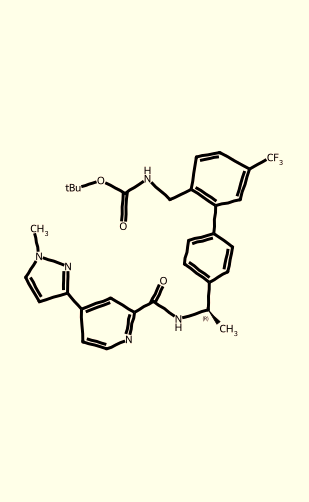 C[C@@H](NC(=O)c1cc(-c2ccn(C)n2)ccn1)c1ccc(-c2cc(C(F)(F)F)ccc2CNC(=O)OC(C)(C)C)cc1